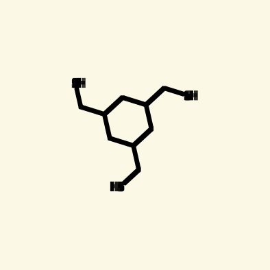 SCC1CC(CS)CC(CS)C1